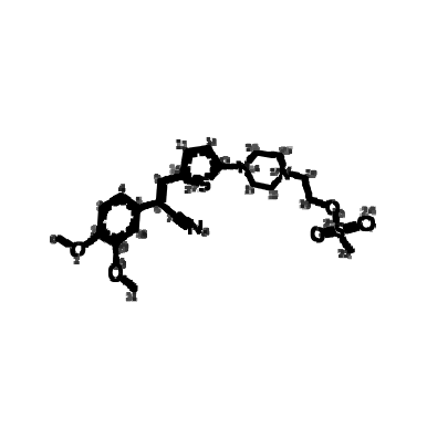 COc1ccc(/C(C#N)=C/c2ccc(N3CCN(CCOS(C)(=O)=O)CC3)s2)cc1OC